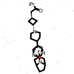 CCN1CC2CCC(C1)N2c1ncc(C2CCN([C@H]3C[C@H](CC(=O)C(C)C)C3)CC2)cn1